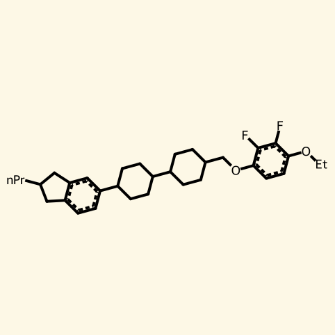 CCCC1Cc2ccc(C3CCC(C4CCC(COc5ccc(OCC)c(F)c5F)CC4)CC3)cc2C1